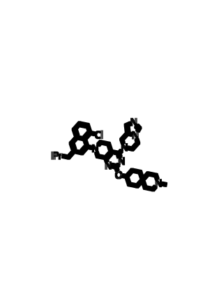 CC(C)Cc1cc(N2CCc3c(nc(OC4CCC5(CC4)CCN(C)CC5)nc3N3CCn4cncc4C3)C2)c2c(Cl)cccc2c1